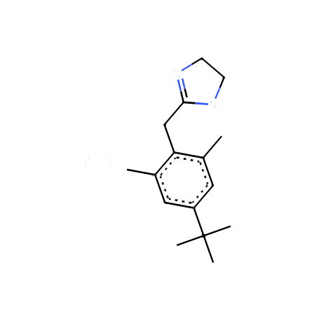 Cc1cc(C(C)(C)C)cc(C)c1CC1=NCCN1.Cl.[Zn]